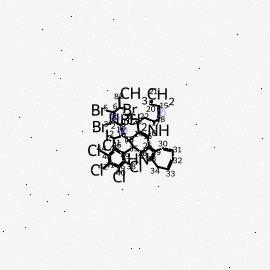 BC(/C(Br)=C(/Br)C(Br)CC)=C(/CI)[C@H]1C2=C(NC(/C=C\C=C)CC2C)c2c([nH]c3c2C=CC=CC3)C1c1c(Cl)c(Cl)c(Cl)c(Cl)c1Cl